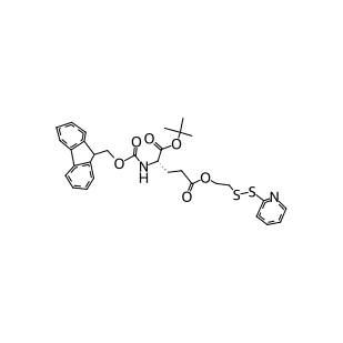 CC(C)(C)OC(=O)[C@H](CCC(=O)OCCSSc1ccccn1)NC(=O)OCC1c2ccccc2-c2ccccc21